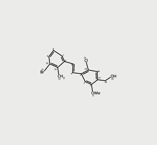 COc1cc(C=Cc2cccc(Br)c2C)c(Cl)cc1CO